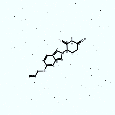 C=CCOc1ccc2cn(C3CCC(=O)NC3=O)cc2c1